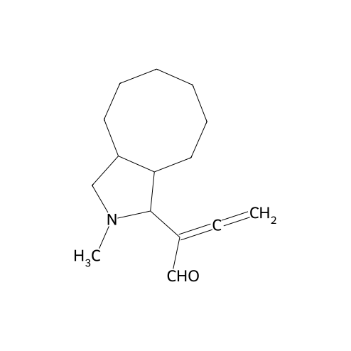 C=C=C(C=O)C1C2CCCCCCC2CN1C